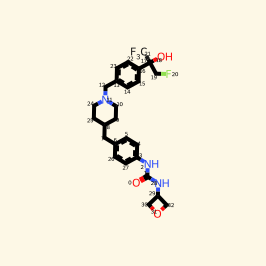 O=C(Nc1ccc(CC2CCN(Cc3ccc(C(O)(CF)C(F)(F)F)cc3)CC2)cc1)NC1COC1